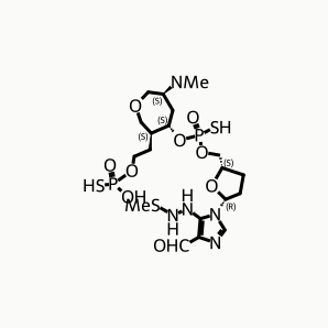 CN[C@@H]1COC[C@H](CCOP(=O)(O)S)[C@@H](OP(=O)(S)OC[C@@H]2CC[C@H](n3cnc(C=O)c3NNSC)O2)C1